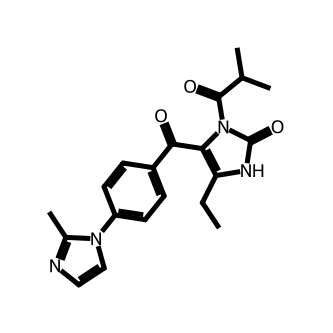 CCc1[nH]c(=O)n(C(=O)C(C)C)c1C(=O)c1ccc(-n2ccnc2C)cc1